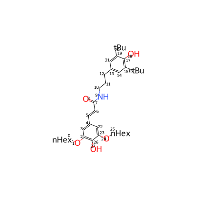 CCCCCCOc1cc(/C=C/C(=O)NCCCc2cc(C(C)(C)C)c(O)c(C(C)(C)C)c2)cc(OCCCCCC)c1O